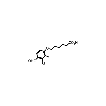 O=Cc1ccc(OCCCCCC(=O)O)c(Cl)c1Cl